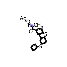 CC(=O)CO/N=C(\C)C(=O)c1ccc2sc3ccc(Sc4ccccc4)cc3c2c1